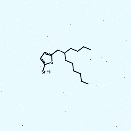 CCCCCCC(CCCC)Cc1cc[c]([SnH])s1